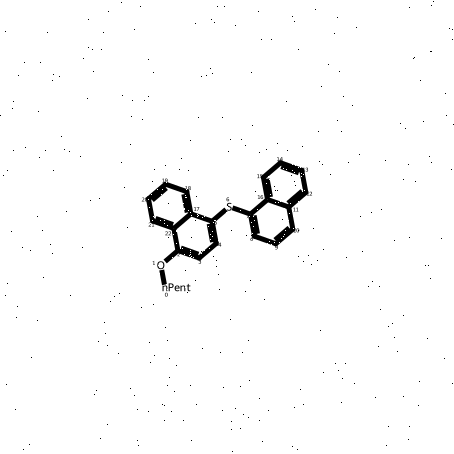 CCCCCOc1ccc(Sc2cccc3ccccc23)c2ccccc12